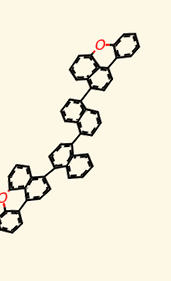 c1ccc2c(c1)Oc1cccc3c(-c4cccc5c(-c6ccc(-c7ccc8c9c(cccc79)Oc7ccccc7-8)c7ccccc67)cccc45)ccc-2c13